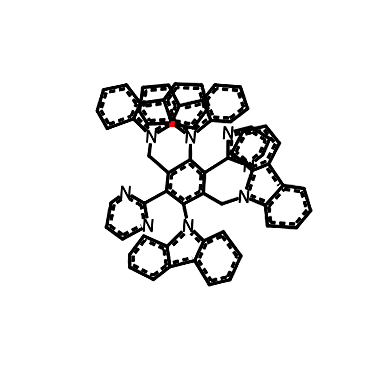 c1cnc(-c2c(Cn3c4ccccc4c4ccccc43)c(-n3c4ccccc4c4ccccc43)c(-c3ncccn3)c(Cn3c4ccccc4c4ccccc43)c2-n2c3ccccc3c3ccccc32)nc1